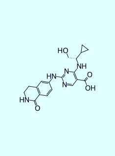 O=C1NCCc2cc(Nc3ncc(C(=O)O)c(N[C@H](CO)C4CC4)n3)ccc21